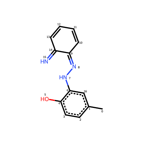 Cc1ccc(O)c(N/N=C2/C=CC=CC2=N)c1